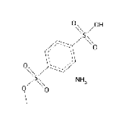 COS(=O)(=O)c1ccc(S(=O)(=O)O)cc1.N